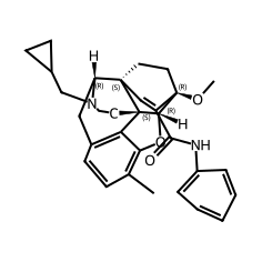 CO[C@]12CC[C@@]3(C=C1C(=O)Nc1ccccc1)[C@H]1Cc4ccc(C)c5c4[C@@]3(CCN1CC1CC1)[C@H]2O5